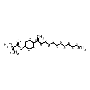 C=C(C)C(=O)OC1CCC(C(=C)CCCCCCCCCCC)CC1